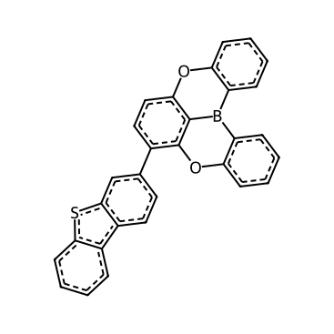 c1ccc2c(c1)Oc1ccc(-c3ccc4c(c3)sc3ccccc34)c3c1B2c1ccccc1O3